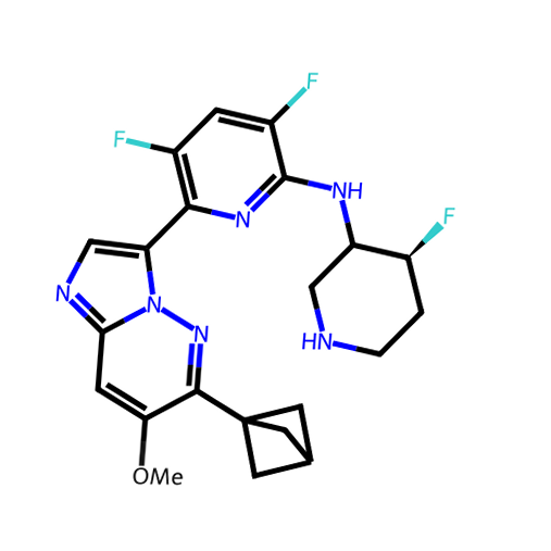 COc1cc2ncc(-c3nc(NC4CNCC[C@@H]4F)c(F)cc3F)n2nc1C12CC(C1)C2